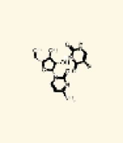 Nc1ccn([C@@H]2O[C@H](CO)[C@@H](O)[C@@H]2O)c(=O)n1.O=c1[nH]cc(F)c(=O)[nH]1